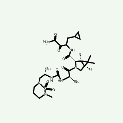 CN1CCCN(C[C@@H](NC(=O)N[C@H](C(=O)N2C[C@H]3[C@@H]([C@H]2C(=O)NC(CC2CC2)C(=O)C(N)=O)C3(C)C)C(C)(C)C)C(C)(C)C)S1(=O)=O